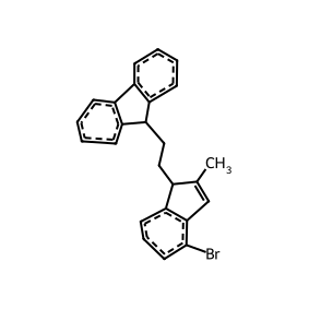 CC1=Cc2c(Br)cccc2C1CCC1c2ccccc2-c2ccccc21